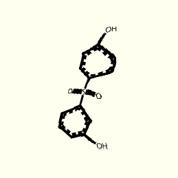 O=S(=O)(c1ccc(O)cc1)c1cccc(O)c1